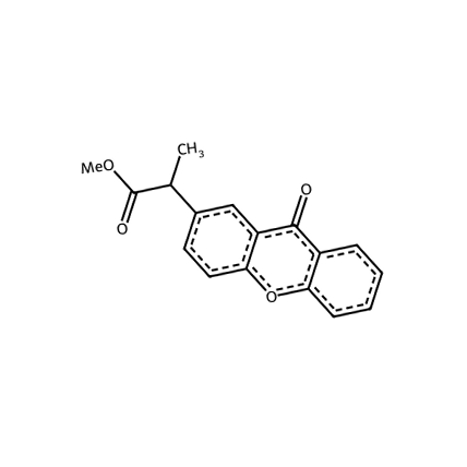 COC(=O)C(C)c1ccc2oc3ccccc3c(=O)c2c1